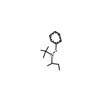 CCC(C)N(Sc1ccccc1)C(C)(C)C